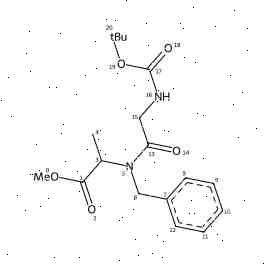 COC(=O)C(C)N(Cc1ccccc1)C(=O)CNC(=O)OC(C)(C)C